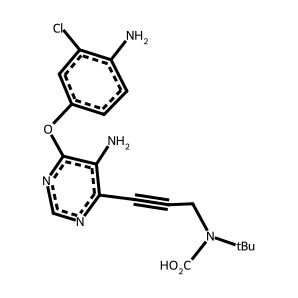 CC(C)(C)N(CC#Cc1ncnc(Oc2ccc(N)c(Cl)c2)c1N)C(=O)O